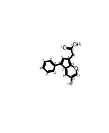 O=C(O)Cc1cc(-c2ccccc2)c2cc(F)coc1-2